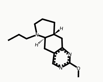 CCCN1CCC[C@@H]2Cc3nc(OC)ncc3C[C@H]21